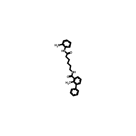 Cc1c(C(=O)NCCCCCC(=O)Nc2ccccc2N)cccc1-c1ccccc1